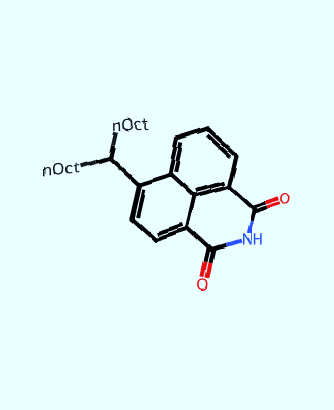 CCCCCCCCC(CCCCCCCC)c1ccc2c3c(cccc13)C(=O)NC2=O